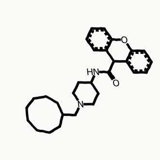 O=C(NC1CCN(CC2CCCCCCCC2)CC1)C1c2ccccc2Oc2ccccc21